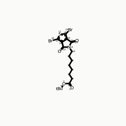 CC(C)(C)OC(=O)CCCCCCCN1C(=O)c2c(Br)sc(Br)c2C1=O